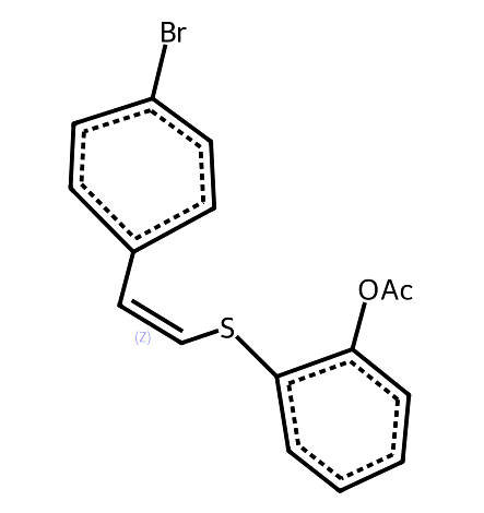 CC(=O)Oc1ccccc1S/C=C\c1ccc(Br)cc1